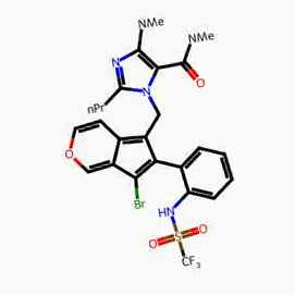 CCCc1nc(NC)c(C(=O)NC)n1Cc1c2ccocc-2c(Br)c1-c1ccccc1NS(=O)(=O)C(F)(F)F